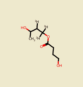 [2H]C(C(C)O)C([2H])([2H])OC(=O)CCCO